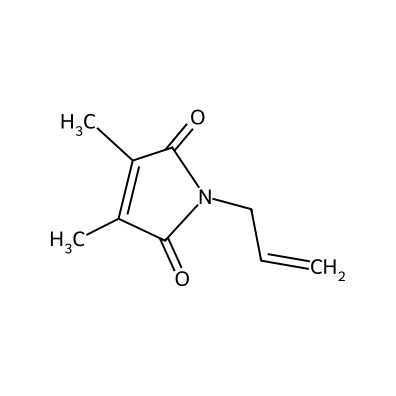 C=CCN1C(=O)C(C)=C(C)C1=O